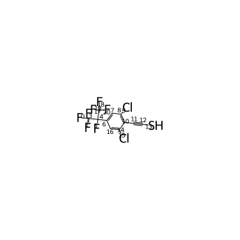 FC(F)(F)C(F)(c1cc(Cl)c(C#CS)c(Cl)c1)C(F)(F)F